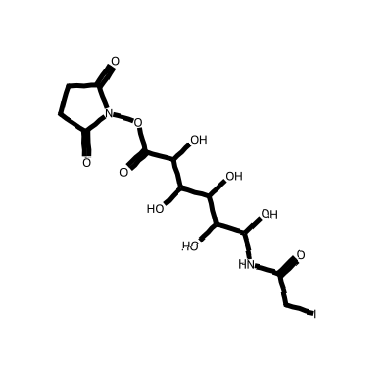 O=C(CI)NC(O)C(O)C(O)C(O)C(O)C(=O)ON1C(=O)CCC1=O